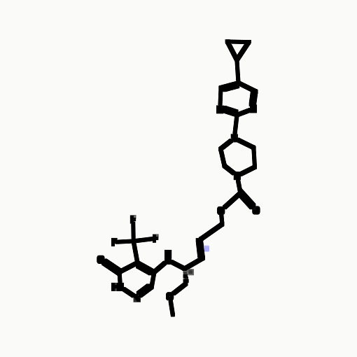 COC[C@@H](/C=C/COC(=O)N1CCN(c2ncc(C3CC3)cn2)CC1)Nc1cn[nH]c(=O)c1C(F)(F)F